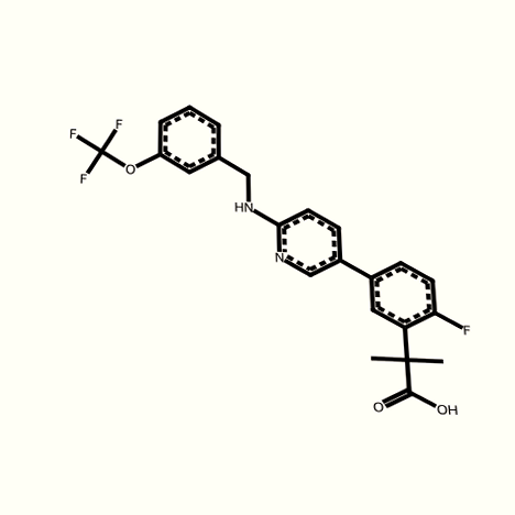 CC(C)(C(=O)O)c1cc(-c2ccc(NCc3cccc(OC(F)(F)F)c3)nc2)ccc1F